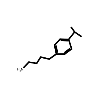 CC(C)c1ccc(CCCCN)cc1